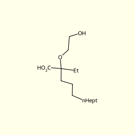 CCCCCCCCCCC(CC)(OCCO)C(=O)O